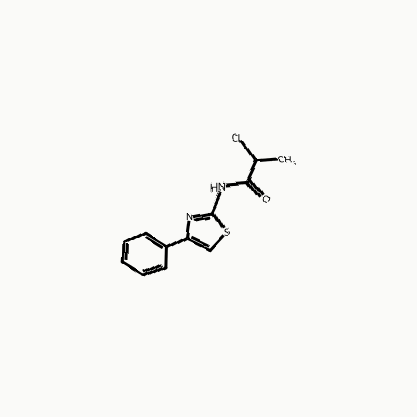 CC(Cl)C(=O)Nc1nc(-c2ccccc2)cs1